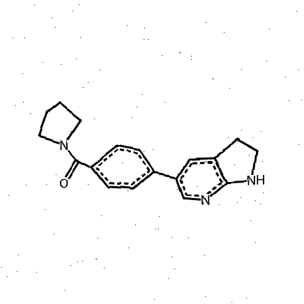 O=C(c1ccc(-c2cnc3c(c2)CCN3)cc1)N1CCCC1